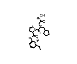 CCc1cccc(NC(=O)C2CC=NN2C(=O)[C@@H](CC(=O)NO)CC2CCCC2)[n+]1[O-]